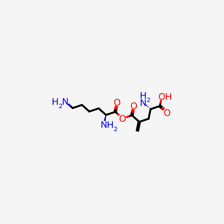 C=C(C[C@H](N)C(=O)O)C(=O)OC(=O)[C@@H](N)CCCCN